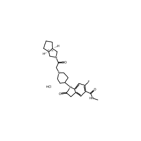 CNC(=O)c1cc2c(cc1F)N(C1CCN(CC(=O)N3C[C@H]4CCC[C@H]4C3)CC1)C(=O)C2.Cl